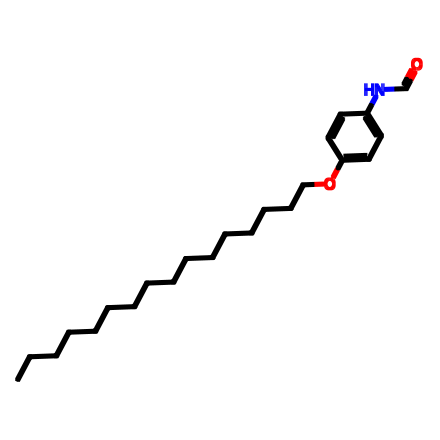 CCCCCCCCCCCCCCCCOc1ccc(NC=O)cc1